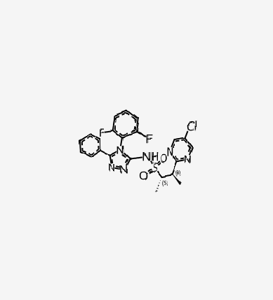 C[C@H](c1ncc(Cl)cn1)[C@H](C)S(=O)(=O)Nc1nnc(-c2ccccc2)n1-c1c(F)cccc1F